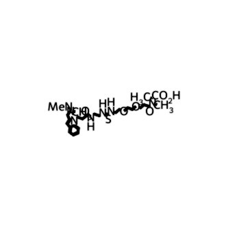 CNN(C)Cc1cc2ccccc2n1CCC(=O)NCCNC(=S)NCCOCCOCCC(=O)N(C)C(C)C(=O)O